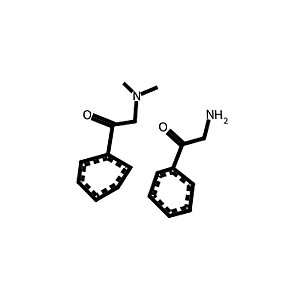 CN(C)CC(=O)c1ccccc1.NCC(=O)c1ccccc1